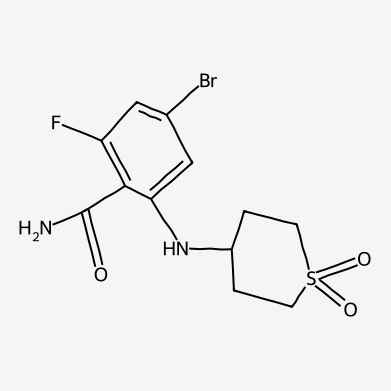 NC(=O)c1c(F)cc(Br)cc1NC1CCS(=O)(=O)CC1